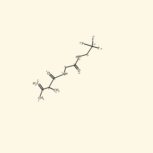 C=C(C)C(C)C(=O)NCC(=O)NCC(F)(F)F